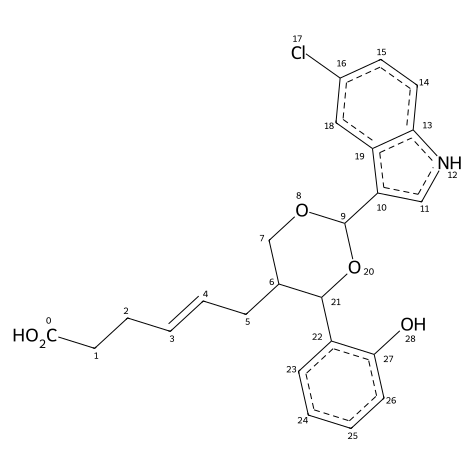 O=C(O)CCC=CCC1COC(c2c[nH]c3ccc(Cl)cc23)OC1c1ccccc1O